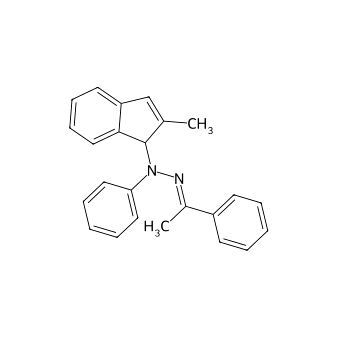 CC1=Cc2ccccc2C1N(N=C(C)c1ccccc1)c1ccccc1